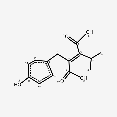 CC(C)C(C(=O)O)=C(Cc1ccc(O)cc1)C(=O)O